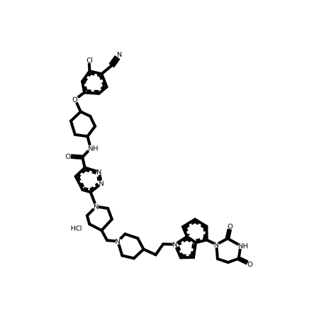 Cl.N#Cc1ccc(OC2CCC(NC(=O)c3ccc(N4CCC(CN5CCC(CCn6ccc7c(N8CCC(=O)NC8=O)cccc76)CC5)CC4)nn3)CC2)cc1Cl